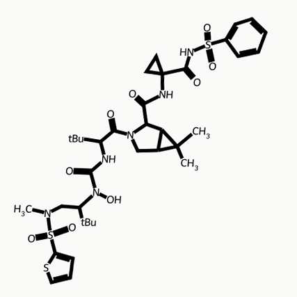 CN(CC(N(O)C(=O)NC(C(=O)N1CC2C(C1C(=O)NC1(C(=O)NS(=O)(=O)c3ccccc3)CC1)C2(C)C)C(C)(C)C)C(C)(C)C)S(=O)(=O)c1cccs1